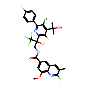 COc1cc(C(=O)NCC(O)(c2nc(-c3ccc(F)cc3)c(Cl)c(C(C)(C)O)c2F)C(F)(F)F)cc2cc(C)c(F)nc12